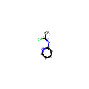 FC(F)(F)/C(Cl)=N/c1ccccn1